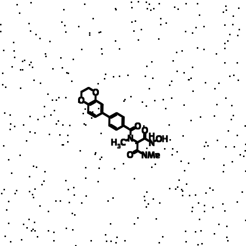 CNC(=O)C(C(=O)NO)N(C)C(=O)c1ccc(-c2ccc3c(c2)OCCO3)cc1